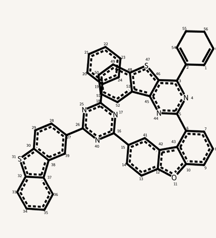 C1=CC(c2nc(-c3cccc4oc5ccc(-c6nc(-c7ccccc7)nc(-c7ccc8sc9ccccc9c8c7)n6)cc5c34)nc3c2sc2ccccc23)=CCC1